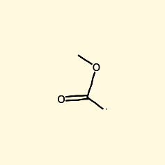 [CH2]C(=O)OC